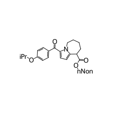 CCCCCCCCCOC(=O)C1CCCCn2c(C(=O)c3ccc(OC(C)C)cc3)ccc21